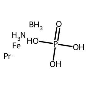 B.N.O=P(O)(O)O.[Fe].[Pr]